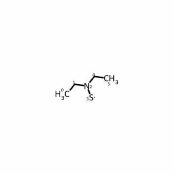 CCN([S])CC